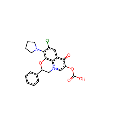 O=C(O)Oc1cn2c3c(c(N4CCCC4)c(Cl)cc3c1=O)OC(c1ccccc1)C2